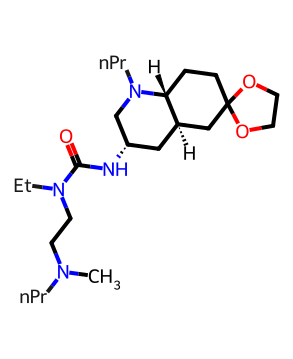 CCCN(C)CCN(CC)C(=O)N[C@H]1C[C@@H]2CC3(CC[C@H]2N(CCC)C1)OCCO3